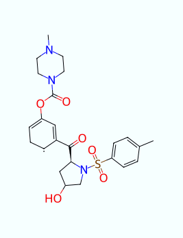 Cc1ccc(S(=O)(=O)N2CC(O)C[C@H]2C(=O)C2=CC(OC(=O)N3CCN(C)CC3)=CC[CH]2)cc1